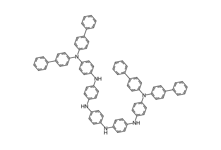 c1ccc(-c2ccc(N(c3ccc(Nc4ccc(Nc5ccc(Nc6ccc(Nc7ccc(N(c8ccc(-c9ccccc9)cc8)c8ccc(-c9ccccc9)cc8)cc7)cc6)cc5)cc4)cc3)c3ccc(-c4ccccc4)cc3)cc2)cc1